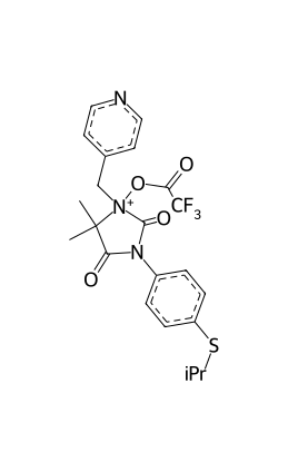 CC(C)Sc1ccc(N2C(=O)C(C)(C)[N+](Cc3ccncc3)(OC(=O)C(F)(F)F)C2=O)cc1